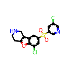 O=S(=O)(c1cncc(Cl)c1)c1cc(Cl)c2oc3c(c2c1)CNCC3